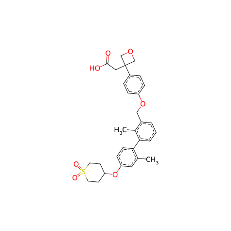 Cc1cc(OC2CCS(=O)(=O)CC2)ccc1-c1cccc(COc2ccc(C3(CC(=O)O)COC3)cc2)c1C